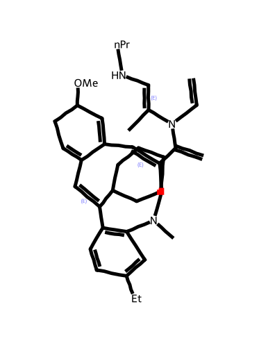 C=CN(C(=C)/C1=C/C2=CC(OC)CC=C2/C=C(\C2CCCCC2)c2ccc(CC)cc2N(C)C1)/C(C)=C/NCCC